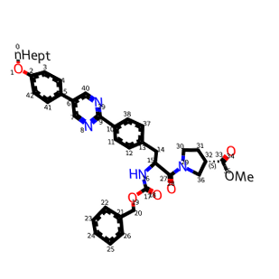 CCCCCCCOc1ccc(-c2cnc(-c3ccc(CC(NC(=O)OCc4ccccc4)C(=O)N4CC[C@H](C(=O)OC)C4)cc3)nc2)cc1